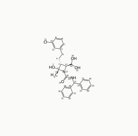 C[C@@]1(O)[C@H](CCc2cccc(Cl)c2)[C@@H](C(O)O)N1C(=O)NC(c1ccccc1)c1ccccc1